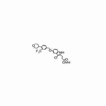 COC(=O)CCc1[nH]c2ccc(OCc3ccc(C4CCOCC4)c(C(F)(F)F)c3)cc2c1Cl